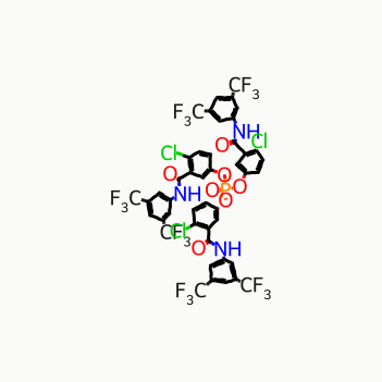 O=C(Nc1cc(C(F)(F)F)cc(C(F)(F)F)c1)c1cc(OP(=O)(Oc2ccc(Cl)c(C(=O)Nc3cc(C(F)(F)F)cc(C(F)(F)F)c3)c2)Oc2ccc(Cl)c(C(=O)Nc3cc(C(F)(F)F)cc(C(F)(F)F)c3)c2)ccc1Cl